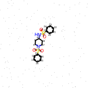 O=S(=O)(NC1CCN(S(=O)(=O)c2ccccc2)CC1)c1ccccc1